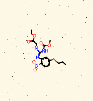 CCCSc1ccc([N+](=O)[O-])c(/N=C(/NCC(=O)OCC)NC(=O)OC)c1